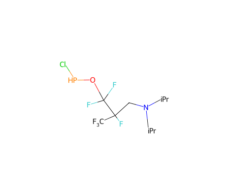 CC(C)N(CC(F)(C(F)(F)F)C(F)(F)OPCl)C(C)C